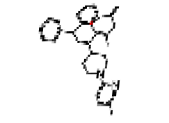 C=C1CC(C)=C(/C(=C\C(c2ccccc2)c2ccccc2)C2CCN(c3ccc(C)cn3)CC2)C(C)C1